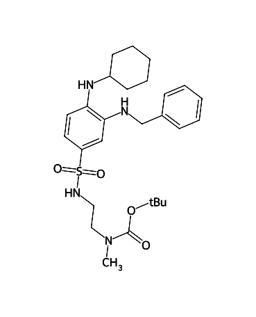 CN(CCNS(=O)(=O)c1ccc(NC2CCCCC2)c(NCc2ccccc2)c1)C(=O)OC(C)(C)C